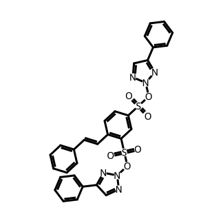 O=S(=O)(On1ncc(-c2ccccc2)n1)c1ccc(C=Cc2ccccc2)c(S(=O)(=O)On2ncc(-c3ccccc3)n2)c1